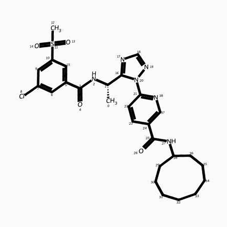 C[C@H](NC(=O)c1cc(Cl)cc(S(C)(=O)=O)c1)c1ncnn1-c1ccc(C(=O)NC2CCCCCCCC2)cn1